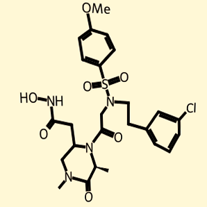 COc1ccc(S(=O)(=O)N(CCc2cccc(Cl)c2)CC(=O)N2C(CC(=O)NO)CN(C)C(=O)[C@@H]2C)cc1